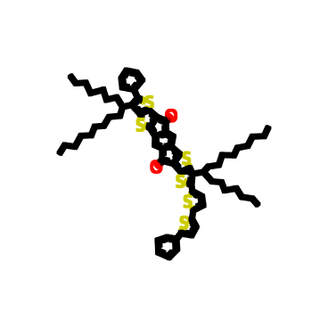 CCCCCCCCCC(CCCCCCC)c1c(-c2ccccc2)sc2c1sc1c3cc4c(=O)c5c6sc(-c7ccc(-c8ccc(-c9ccccc9)s8)s7)c(C(CCCCCCC)CCCCCCCCC)c6sc5c4cc3c(=O)c21